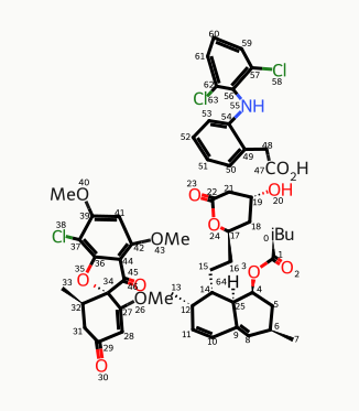 CC[C@H](C)C(=O)O[C@H]1C[C@@H](C)C=C2C=C[C@H](C)[C@H](CC[C@@H]3C[C@@H](O)CC(=O)O3)[C@H]21.COC1=CC(=O)C[C@@H](C)[C@]12Oc1c(Cl)c(OC)cc(OC)c1C2=O.O=C(O)Cc1ccccc1Nc1c(Cl)cccc1Cl